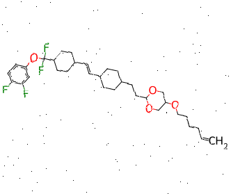 C=CCCCCOC1COC(CCC2CCC(/C=C/C3CCC(C(F)(F)Oc4ccc(F)c(F)c4)CC3)CC2)OC1